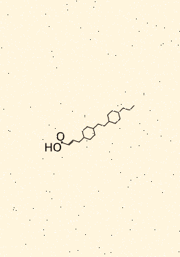 CCCC1CCC(CCC2CCC(CC=CC(=O)O)CC2)CC1